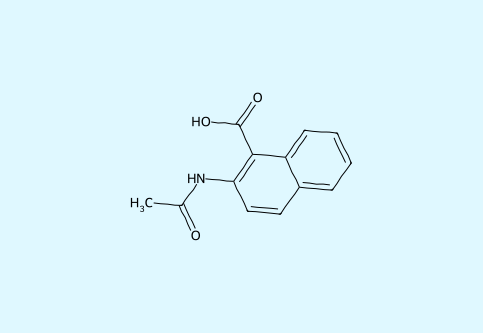 CC(=O)Nc1ccc2ccccc2c1C(=O)O